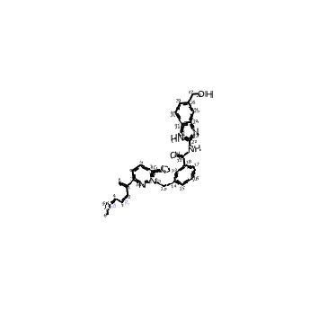 C=C(/C=C\C=N/C)c1ccc(=O)n(Cc2cccc(C(=O)Nc3nc4cc(CO)ccc4[nH]3)c2)n1